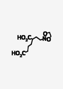 O=C(O)CCCC(CCN1OCCO1)C(=O)O